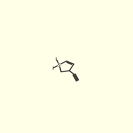 C#CC1C=CS(I)(I)C1